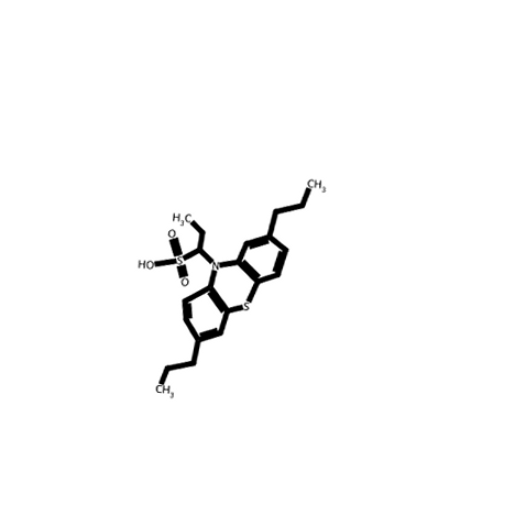 CCCc1ccc2c(c1)Sc1ccc(CCC)cc1N2C(CC)S(=O)(=O)O